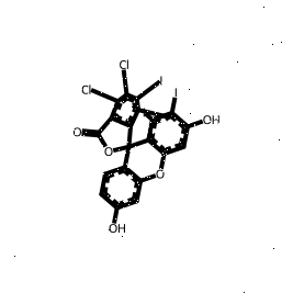 O=C1OC2(c3ccc(O)cc3Oc3cc(O)c(I)c(I)c32)c2c(I)c(I)c(Cl)c(Cl)c21